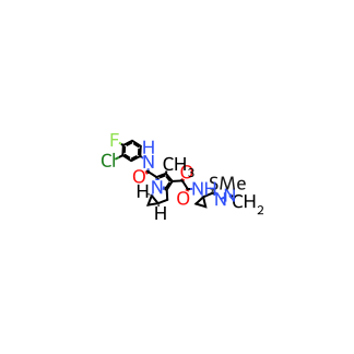 C=N/N=C(\SC)C1(NC(=O)C(=O)c2c(C)c(C(=O)Nc3ccc(F)c(Cl)c3)n3c2C[C@H]2C[C@H]23)CC1